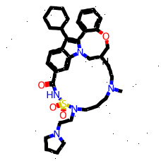 CN1CCCN(CCN2CCCC2)S(=O)(=O)NC(=O)c2ccc3c(C4CCCCC4)c4n(c3c2)C[C@H](CC1)COc1ccccc1-4